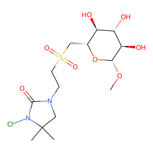 CO[C@@H]1O[C@H](CS(=O)(=O)CCN2CC(C)(C)N(Cl)C2=O)[C@@H](O)[C@H](O)[C@H]1O